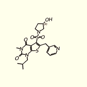 CC(C)Cn1c(=O)n(C)c(=O)c2c(S(=O)(=O)N3CC[C@@H](O)C3)c(Cc3cccnc3)sc21